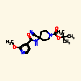 COc1cc(C(=O)NC2(C#N)CCN(C(=O)OC(C)(C)C)CC2)ccn1